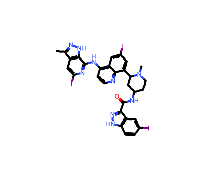 Cc1n[nH]c2c(Nc3ccnc4c(C5CC(NC(=O)c6n[nH]c7ccc(I)cc67)CCN5C)cc(I)cc34)nc(I)cc12